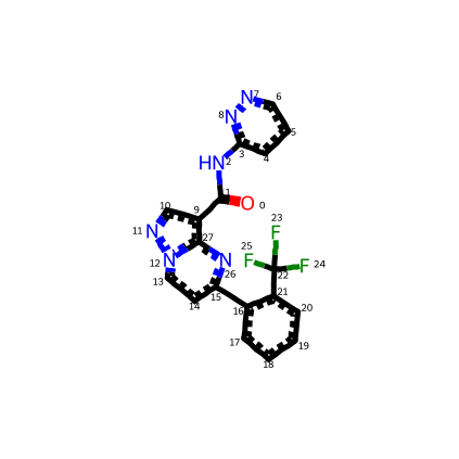 O=C(Nc1cccnn1)c1cnn2ccc(-c3ccccc3C(F)(F)F)nc12